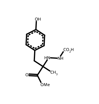 COC(=O)C(C)(Cc1ccc(O)cc1)NNC(=O)O